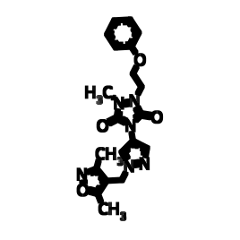 Cc1noc(C)c1Cn1cc(-n2c(=O)n(C)n(CCOc3ccccc3)c2=O)cn1